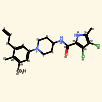 C=CCc1cc(N2CCC(NC(=O)c3[nH]c(C)c(Cl)c3Cl)CC2)cc(C(=O)O)c1C